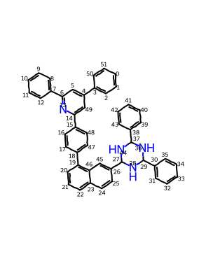 c1ccc(-c2cc(-c3ccccc3)nc(-c3ccc(-c4cccc5ccc(C6NC(c7ccccc7)NC(c7ccccc7)N6)cc45)cc3)c2)cc1